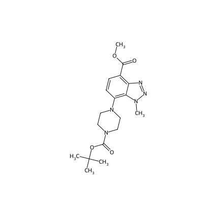 COC(=O)c1ccc(N2CCN(C(=O)OC(C)(C)C)CC2)c2c1nnn2C